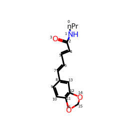 CCCNC(=O)C=CC=Cc1ccc2c(c1)OCO2